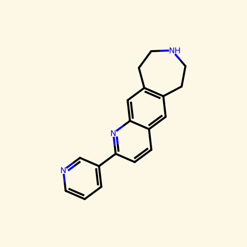 c1cncc(-c2ccc3cc4c(cc3n2)CCNCC4)c1